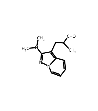 CC(C=O)Cc1c(N(C)C)nn2ccccc12